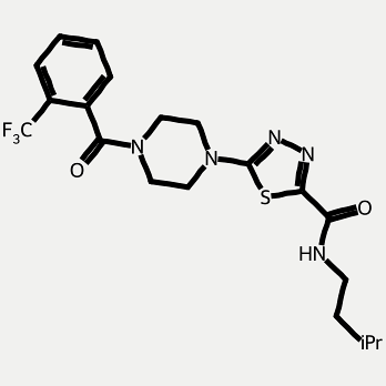 CC(C)CCNC(=O)c1nnc(N2CCN(C(=O)c3ccccc3C(F)(F)F)CC2)s1